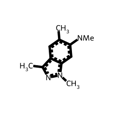 CNc1cc2c(cc1C)c(C)nn2C